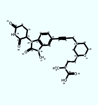 CN(CC[C@H]1CN(CC#Cc2ccc3c(c2)n(C)c(=O)n3C2CCC(=O)NC2=O)CCO1)C(=O)O